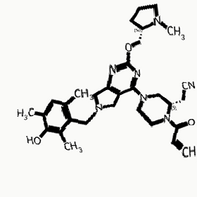 C=CC(=O)N1CCN(c2nc(OC[C@@H]3CCCN3C)nc3c2CN(Cc2c(C)cc(C)c(O)c2C)C3)C[C@@H]1CC#N